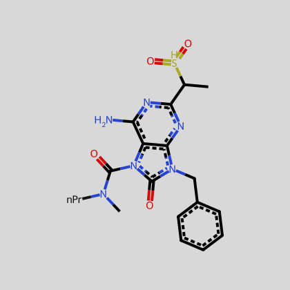 CCCN(C)C(=O)n1c(=O)n(Cc2ccccc2)c2nc(C(C)[SH](=O)=O)nc(N)c21